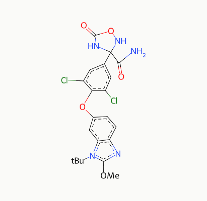 COc1nc2ccc(Oc3c(Cl)cc(C4(C(N)=O)NOC(=O)N4)cc3Cl)cc2n1C(C)(C)C